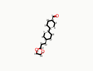 O=C[C@H]1CC[C@H]([C@H]2CC[C@H](CCC3OCCO3)CC2)CC1